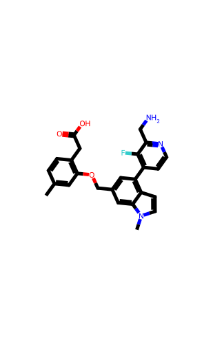 Cc1ccc(CC(=O)O)c(OCc2cc(-c3ccnc(CN)c3F)c3ccn(C)c3c2)c1